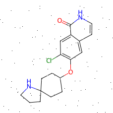 O=c1[nH]ccc2cc(OC3CCC4(CCCN4)CC3)c(Cl)cc12